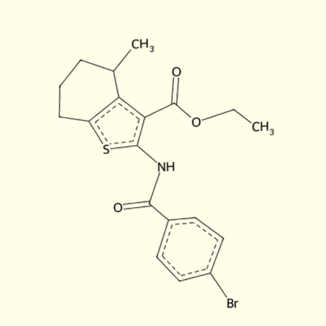 CCOC(=O)c1c(NC(=O)c2ccc(Br)cc2)sc2c1C(C)CCC2